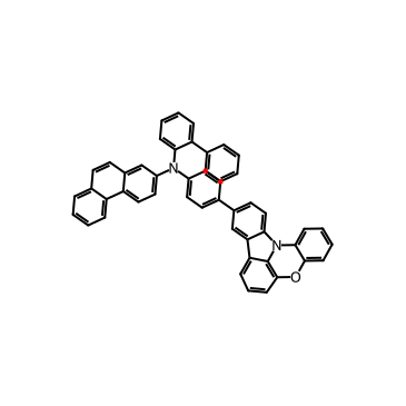 c1ccc(-c2ccccc2N(c2ccc(-c3ccc4c(c3)c3cccc5c3n4-c3ccccc3O5)cc2)c2ccc3c(ccc4ccccc43)c2)cc1